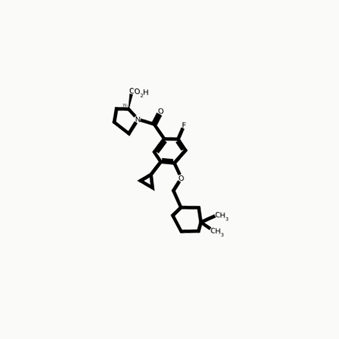 CC1(C)CCCC(COc2cc(F)c(C(=O)N3CCC[C@H]3C(=O)O)cc2C2CC2)C1